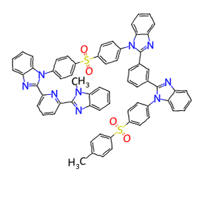 Cc1ccc(S(=O)(=O)c2ccc(-n3c(-c4cccc(-c5nc6ccccc6n5-c5ccc(S(=O)(=O)c6ccc(-n7c(-c8cccc(-c9nc%10ccccc%10n9C)n8)nc8ccccc87)cc6)cc5)c4)nc4ccccc43)cc2)cc1